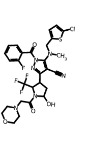 CN(Cc1ccc(Cl)s1)c1c(C#N)c(C2CC(O)N(C(=O)CN3CCOCC3)C2C(F)(F)F)nn1C(=O)c1ccccc1F